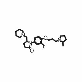 CC1CCCN1CCCOc1ccc(N2C(=O)CCC2CN2CCCCC2)cc1F